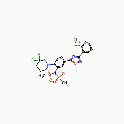 COc1ccccc1-c1noc(-c2ccc(N3CCCC(F)(F)C3)c(N(S(C)(=O)=O)S(C)(=O)=O)c2)n1